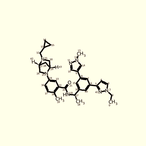 CCn1ccc(-c2cc(-c3cnn(C)c3)cc([C@@H](C)NC(=O)c3cc(N4C[C@H]5C[C@@H]4CN5CC4CC4)ccc3C)c2)n1